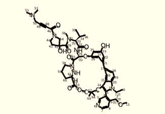 CCn1c(-c2cnccc2[C@H](C)OC)c2c3cc(ccc31)-c1cc(O)cc(c1)C[C@H](NC(=O)[C@H](C(C)C)N(C)C(=O)C1(O)CCN(C(=O)C#CCN(C)C)C1)C(=O)N1CCC[C@H](N1)C(=O)OCC(C)(C)C2